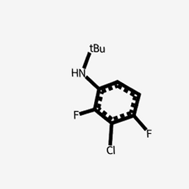 CC(C)(C)Nc1ccc(F)c(Cl)c1F